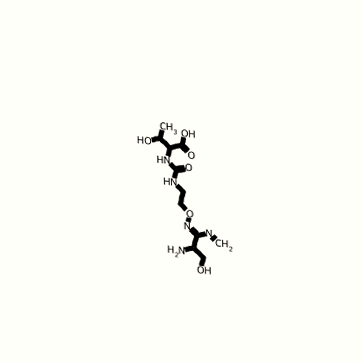 C=N/C(=N\OCCNC(=O)NC(C(=O)O)C(C)O)C(N)CO